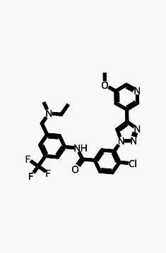 CCN(C)Cc1cc(NC(=O)c2ccc(Cl)c(-n3cc(-c4cncc(OC)c4)nn3)c2)cc(C(F)(F)F)c1